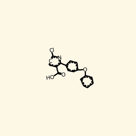 O=C(O)c1ccc(Cl)nc1-c1ccc(Oc2ccccc2)cc1